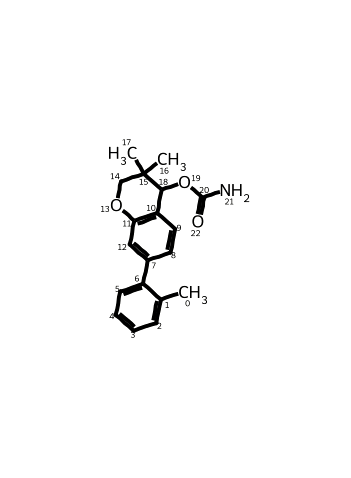 Cc1ccccc1-c1ccc2c(c1)OCC(C)(C)C2OC(N)=O